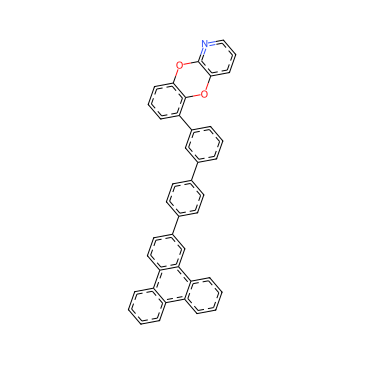 c1cc(-c2ccc(-c3ccc4c5ccccc5c5ccccc5c4c3)cc2)cc(-c2cccc3c2Oc2cccnc2O3)c1